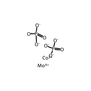 O=P([O-])([O-])[O-].O=P([O-])([O-])[O-].[Co+2].[Mo+4]